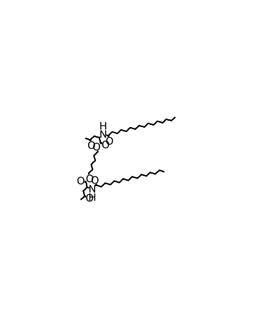 CCCCCCCCCCCCCCCC(=O)NC(CC(C)=O)C(=O)OCCCCCCOC(=O)C(CC(C)=O)NC(=O)CCCCCCCCCCCCCCC